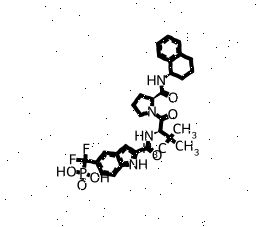 CC(C)(C)[C@H](NC(=O)c1cc2cc(C(F)(F)P(=O)(O)O)ccc2[nH]1)C(=O)N1CCC[C@H]1C(=O)N[C@@H]1CCCc2ccccc21